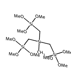 CO[Si](C[Si](C)(C[Si](OC)(OC)OC)C[Si](OC)(OC)OC)(OC)OC